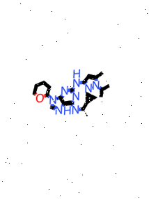 Cc1cc(Nc2nc(N[C@@H](C)C3CC3)c3ncn(C4CCCCO4)c3n2)nn1C(C)C